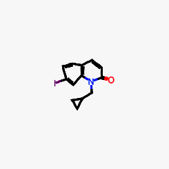 O=c1ccc2ccc(I)cc2n1CC1CC1